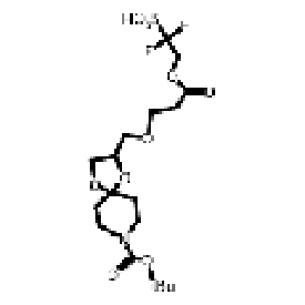 CC(C)(C)OC(=O)N1CCC2(CC1)OCC(COCCC(=O)OCC(F)(F)S(=O)(=O)O)O2